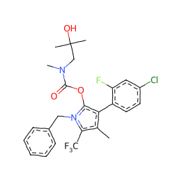 Cc1c(-c2ccc(Cl)cc2F)c(OC(=O)N(C)CC(C)(C)O)n(Cc2ccccc2)c1C(F)(F)F